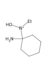 CC[N+](O)C1(N)CCCCC1